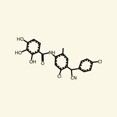 Cc1cc(C(C#N)c2ccc(Cl)cc2)c(Cl)cc1NC(=O)c1ccc(O)c(O)c1O